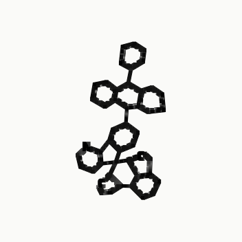 c1ccc(-c2c3ccccc3c(-c3ccc4c(c3)-c3ncccc3C43c4ccccc4-c4cccc5cccc3c45)c3ccccc23)cc1